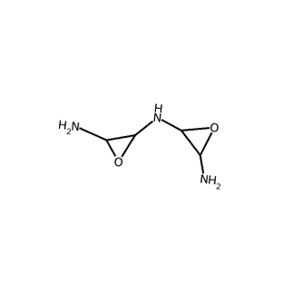 NC1OC1NC1OC1N